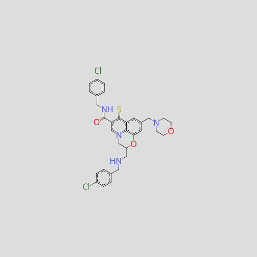 O=C(NCc1ccc(Cl)cc1)c1cn2c3c(cc(CN4CCOCC4)cc3c1=S)OC(CNCc1ccc(Cl)cc1)C2